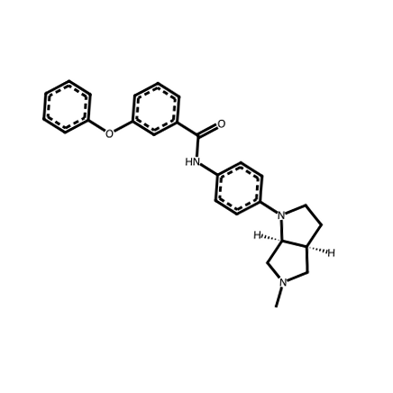 CN1C[C@@H]2CCN(c3ccc(NC(=O)c4cccc(Oc5ccccc5)c4)cc3)[C@@H]2C1